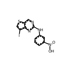 O=[N+](O)c1cccc(Nc2ncc3scc(I)c3n2)c1